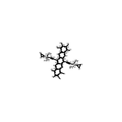 Cc1c(C)c(C)c2cc3c(C#C[Si](C(C)C)(C(C)C)C4CC4)c4cc5c(C)c(C)c(C)c(C)c5cc4c(C#C[Si](C(C)C)(C(C)C)C4CC4)c3cc2c1C